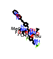 COC(=O)N[C@H](C(=O)N[C@@H](Cc1ccc(C#Cc2ccc(N3CC4CCC(C3)N4C3COC3)nc2)cc1)[C@@H](O)CN(Cc1c(F)cc(C(=N)/C=C\NC(F)F)cc1F)NC(=O)[C@@H](NC(=O)C1CC1)C(C)(C)C)C(C)(C)C(F)(F)F